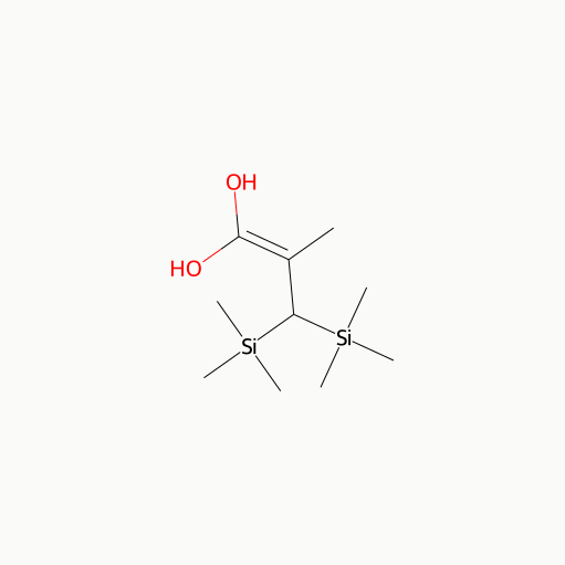 CC(=C(O)O)C([Si](C)(C)C)[Si](C)(C)C